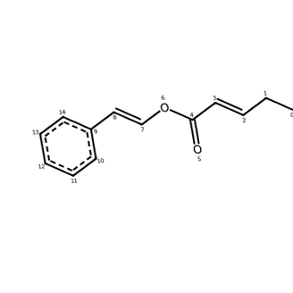 CCC=CC(=O)OC=Cc1ccccc1